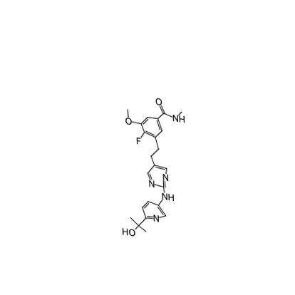 CNC(=O)c1cc(CCc2cnc(Nc3ccc(C(C)(C)O)nc3)nc2)c(F)c(OC)c1